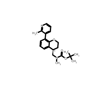 Cc1ncccc1-c1cccc2c1OCC[C@H]2CN(C)C(=O)OC(C)(C)C